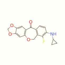 O=C1c2cc3c(cc2OCc2c1ccc(NC1CC1)c2F)OCO3